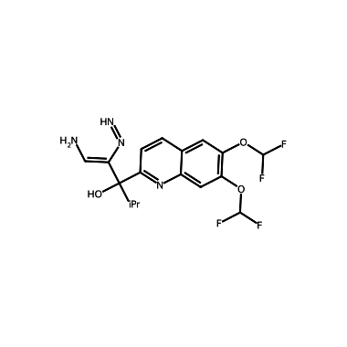 CC(C)C(O)(/C(=C/N)N=N)c1ccc2cc(OC(F)F)c(OC(F)F)cc2n1